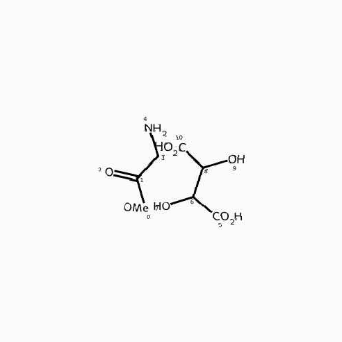 COC(=O)CN.O=C(O)C(O)C(O)C(=O)O